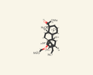 COCO[C@@H]1[C@@H](CC#N)[C@H]2CC[C@@]13CC[C@H]1[C@@](C)(CCC[C@@]1(C)C(=O)OC)[C@@H]3C2